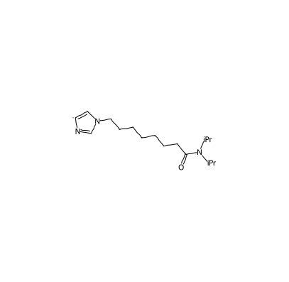 CC(C)N(C(=O)CCCCCCCn1c[c]nc1)C(C)C